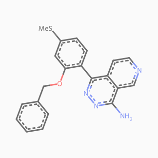 CSc1ccc(-c2nnc(N)c3cnccc23)c(OCc2ccccc2)c1